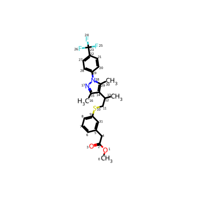 COC(=O)Cc1cccc(SCC(C)c2c(C)nn(-c3ccc(C(F)(F)F)cc3)c2C)c1